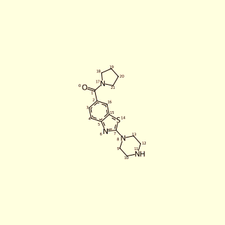 O=C(c1ccc2nc(N3CCNCC3)sc2c1)N1CCCC1